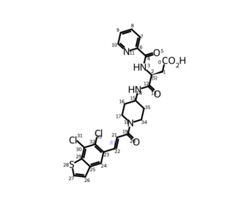 O=C(O)C[C@H](NC(=O)c1ccccn1)C(=O)NC1CCN(C(=O)/C=C/c2cc3ccsc3c(Cl)c2Cl)CC1